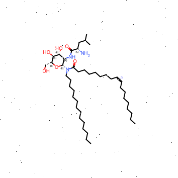 CCCCCCCC/C=C\CCCCCCCC(=O)N(CCCCCCCCCCCCCC)[C@@H]1O[C@H](CO)[C@@H](O)[C@H](O)[C@H]1NC(=O)[C@@H](N)CC(C)C